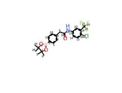 CC1(C)OB(c2ccc(CC(=O)Nc3ccc(Cl)c(C(F)(F)F)c3)cc2)OC1(C)C